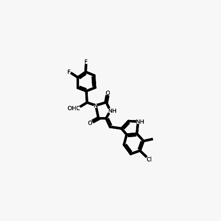 Cc1c(Cl)ccc2c(/C=C3\NC(=O)N(C(C=O)c4ccc(F)c(F)c4)C3=O)c[nH]c12